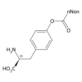 CCCCCCCCCC(=O)Oc1ccc(C[C@H](N)C(=O)O)cc1